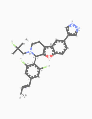 C[C@@H]1Cc2c(oc3ccc(-c4cn[nH]c4)cc23)[C@@H](c2c(F)cc(/C=C/C(=O)O)cc2F)N1CC(C)(C)F